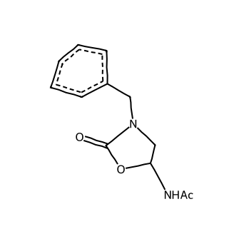 CC(=O)NC1CN(Cc2ccccc2)C(=O)O1